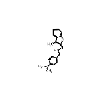 CN(C)c1ccc(CNN=c2sc3ccccc3n2C)cc1